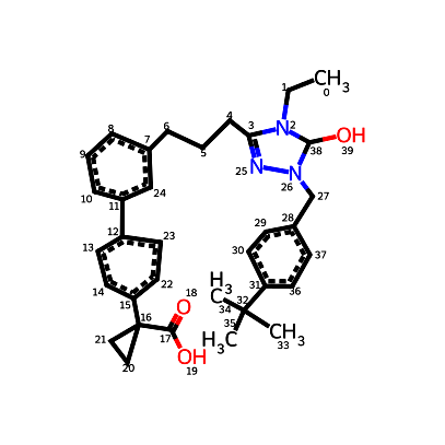 CCN1C(CCCc2cccc(-c3ccc(C4(C(=O)O)CC4)cc3)c2)=NN(Cc2ccc(C(C)(C)C)cc2)C1O